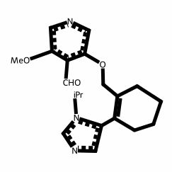 COc1cncc(OCC2=C(c3cncn3C(C)C)CCCC2)c1C=O